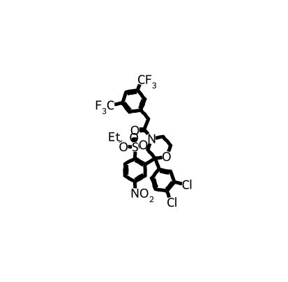 CCOS(=O)(=O)c1ccc([N+](=O)[O-])cc1C1(c2ccc(Cl)c(Cl)c2)CN(C(=O)Cc2cc(C(F)(F)F)cc(C(F)(F)F)c2)CCO1